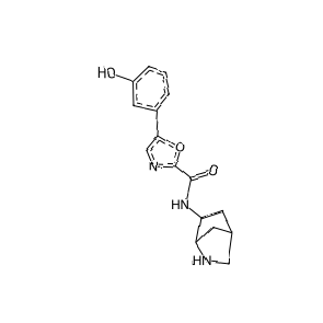 O=C(NC1CC2CNC1C2)c1ncc(-c2cccc(O)c2)o1